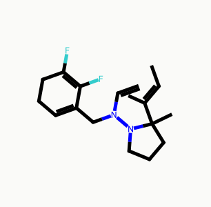 C=CN(CC1=CCCC(F)=C1F)N1CCCC1(C)/C(C)=C/C